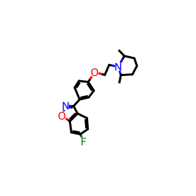 CC1CCCC(C)N1CCOc1ccc(-c2noc3cc(F)ccc23)cc1